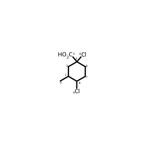 CC1CC(Cl)(C(=O)O)CCC1Cl